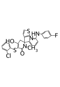 CN1C(=O)C(Sc2ccccc2Cl)=C(O)CC1(c1ccsc1)c1cccc(Nc2ccc(F)cc2)n1